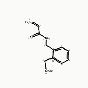 C=CC(=O)NCc1ccccc1SNC